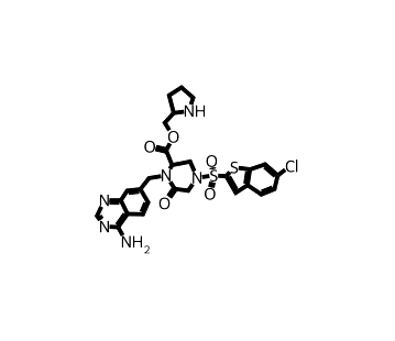 Nc1ncnc2cc(CN3C(=O)CN(S(=O)(=O)c4cc5ccc(Cl)cc5s4)CC3C(=O)OCC3CCCN3)ccc12